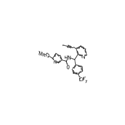 CC#Cc1cccnc1C(NC(=O)c1ccc(OC)nc1)c1ccc(C(F)(F)F)cc1